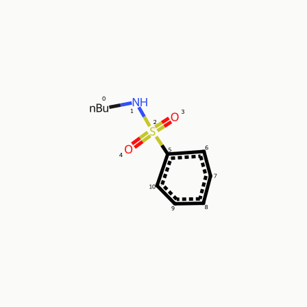 [CH2]CCCNS(=O)(=O)c1ccccc1